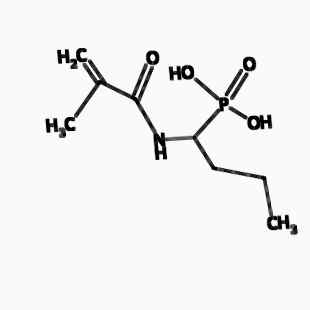 C=C(C)C(=O)NC(CCC)P(=O)(O)O